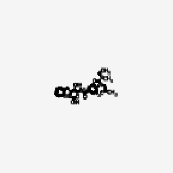 CCN(C)C1Oc2cc(C(=O)NC[C@H](O)[C@H](Cc3ccccc3)NC(=O)O)ccc2N1CC(C)C